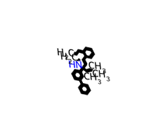 C=C/C=C1/C=CC=CC1C=CC(NC=C)(C(C)=C(C)C)c1cccc(-c2ccccc2)c1